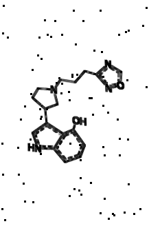 Oc1cccc2[nH]cc(C3CCN(CCCc4ncon4)C3)c12